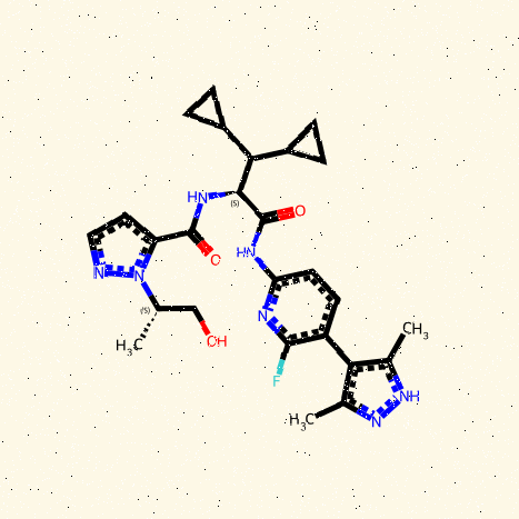 Cc1n[nH]c(C)c1-c1ccc(NC(=O)[C@@H](NC(=O)c2ccnn2[C@@H](C)CO)C(C2CC2)C2CC2)nc1F